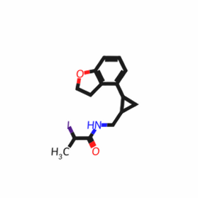 CC(I)C(=O)NCC1CC1c1cccc2c1CCO2